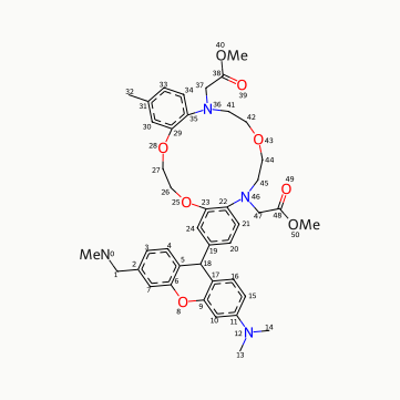 CNCc1ccc2c(c1)Oc1cc(N(C)C)ccc1C2c1ccc2c(c1)OCCOc1cc(C)ccc1N(CC(=O)OC)CCOCCN2CC(=O)OC